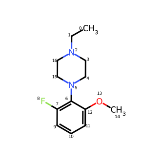 CCN1CCN(c2c(F)cccc2OC)CC1